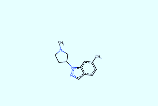 Cc1ccc2cnn(C3CCN(C)C3)c2c1